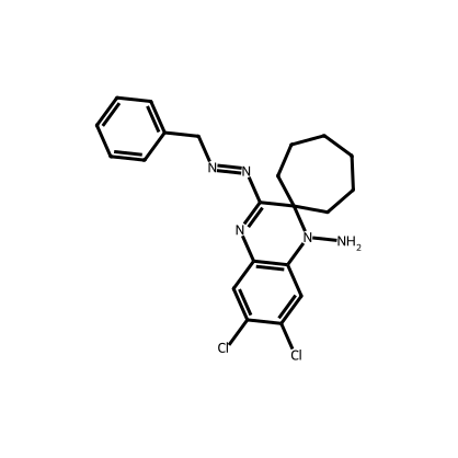 NN1c2cc(Cl)c(Cl)cc2N=C(N=NCc2ccccc2)C12CCCCCC2